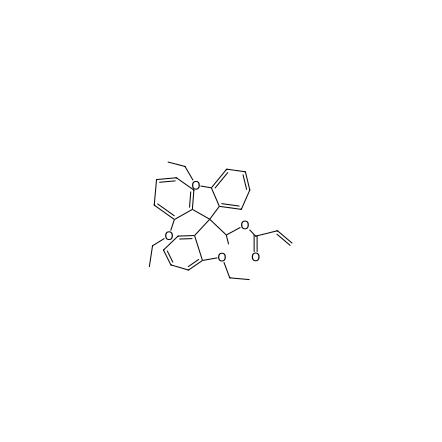 C=CC(=O)OC(C)C(c1ccccc1OCC)(c1ccccc1OCC)c1ccccc1OCC